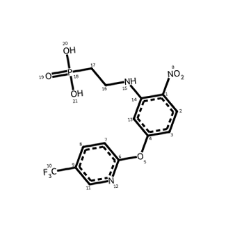 O=[N+]([O-])c1ccc(Oc2ccc(C(F)(F)F)cn2)cc1NCCP(=O)(O)O